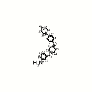 CN1CCN(c2ccc(OC3CCN(Cc4ccnc(N)c4)CC3)cc2)CC1